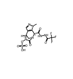 Cn1ncc2c1[C@@H](C(=O)NNC(=O)C(F)(F)F)N1C[C@@H]2N(OS(=O)(=O)O)C1=O